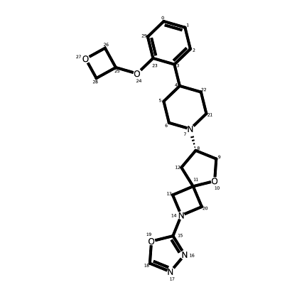 c1ccc(C2CCN([C@@H]3COC4(C3)CN(c3nnco3)C4)CC2)c(OC2COC2)c1